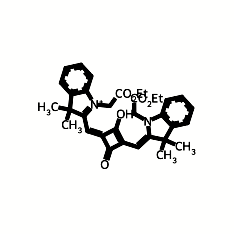 CCOC(=O)CN1C(=CC2=C(O)C(=CC3=[N+](CC(=O)OCC)c4ccccc4C3(C)C)C2=O)C(C)(C)c2ccccc21